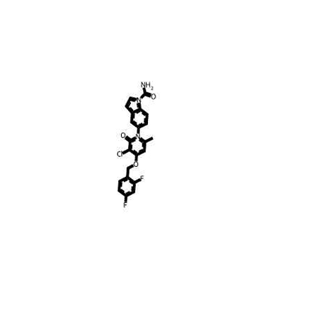 Cc1cc(OCc2ccc(F)cc2F)c(Cl)c(=O)n1-c1ccc2c(ccn2C(N)=O)c1